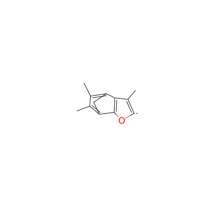 CC1=C2CC(=C1C)c1c(C)[c]oc12